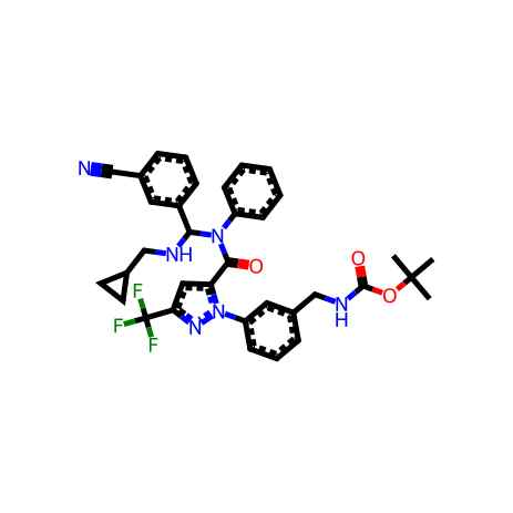 CC(C)(C)OC(=O)NCc1cccc(-n2nc(C(F)(F)F)cc2C(=O)N(c2ccccc2)C(NCC2CC2)c2cccc(C#N)c2)c1